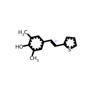 Cc1cc(/C=C/c2cccs2)cc(C)c1O